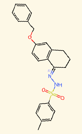 Cc1ccc(S(=O)(=O)N/N=C2\CCCc3cc(OCc4ccccc4)ccc32)cc1